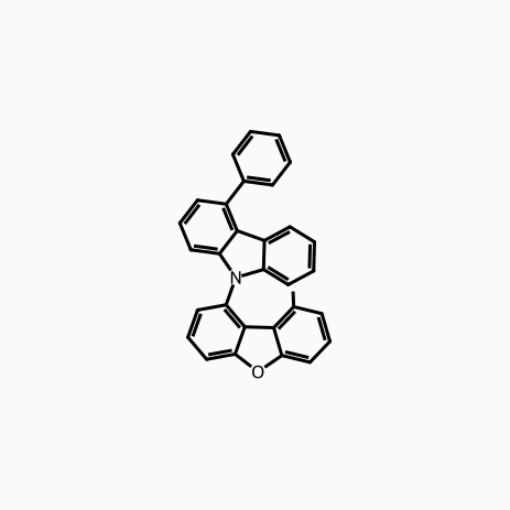 Cc1cccc2oc3cccc(-n4c5ccccc5c5c(-c6ccccc6)cccc54)c3c12